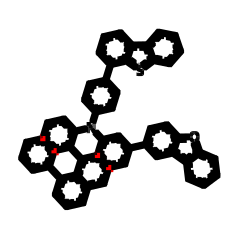 c1ccc(-c2cccc3cccc(-c4ccccc4N(c4ccc(-c5cccc6c5sc5ccccc56)cc4)c4cccc(-c5ccc6oc7ccccc7c6c5)c4)c23)cc1